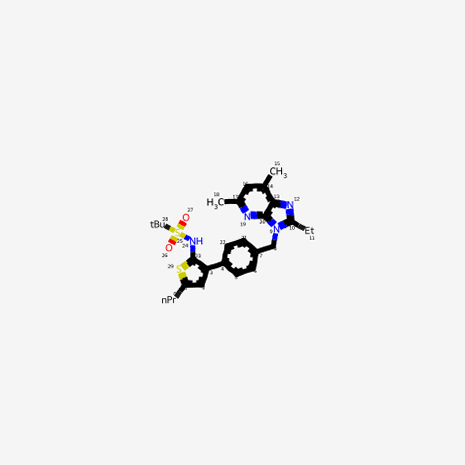 CCCc1cc(-c2ccc(Cn3c(CC)nc4c(C)cc(C)nc43)cc2)c(NS(=O)(=O)C(C)(C)C)s1